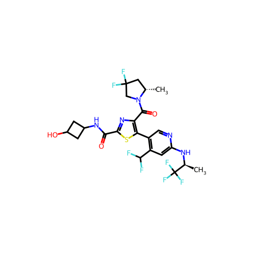 C[C@H](Nc1cc(C(F)F)c(-c2sc(C(=O)NC3CC(O)C3)nc2C(=O)N2CC(F)(F)C[C@@H]2C)cn1)C(F)(F)F